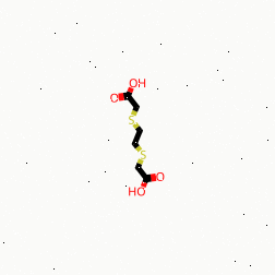 O=C(O)CSCCSCC(=O)O